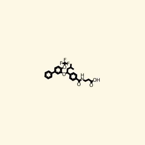 CC(C)CC(Oc1cc(-c2ccccc2)ccc1OC(F)(F)F)c1ccc(C(=O)NCCC(=O)O)cc1